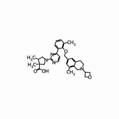 Cc1cc(COc2c(C)cccc2-c2ccnc(N3C[C@H](C)[C@@](C)(C(=O)O)C3)n2)cc2c1CN(C1COC1)CC2